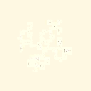 CS(=O)(=O)NC(=O)c1c(-c2ccc[nH]c2=O)c2cc(C(F)(F)F)ccc2n1Cc1cc(F)ccc1F